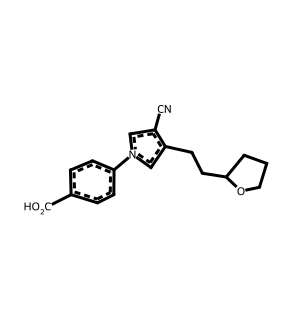 N#Cc1cn(-c2ccc(C(=O)O)cc2)cc1CCC1CCCO1